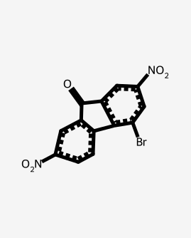 O=C1c2cc([N+](=O)[O-])ccc2-c2c(Br)cc([N+](=O)[O-])cc21